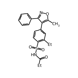 CCC(=O)NS(=O)(=O)c1ccc(-c2c(-c3ccccc3)noc2C)cc1CC